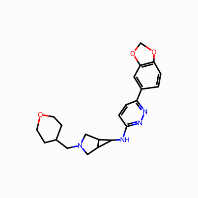 c1cc2c(cc1-c1ccc(NC3C4CN(CC5CCOCC5)CC43)nn1)OCO2